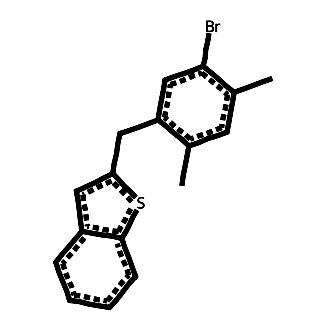 Cc1cc(C)c(Cc2cc3ccccc3s2)cc1Br